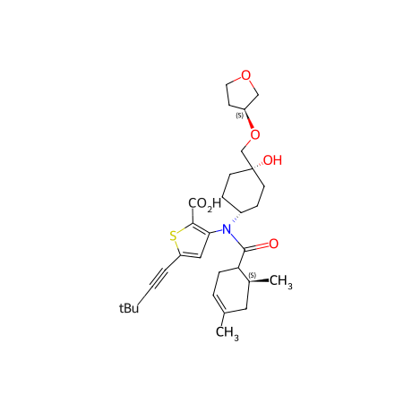 CC1=CCC(C(=O)N(c2cc(C#CC(C)(C)C)sc2C(=O)O)[C@H]2CC[C@](O)(CO[C@H]3CCOC3)CC2)[C@@H](C)C1